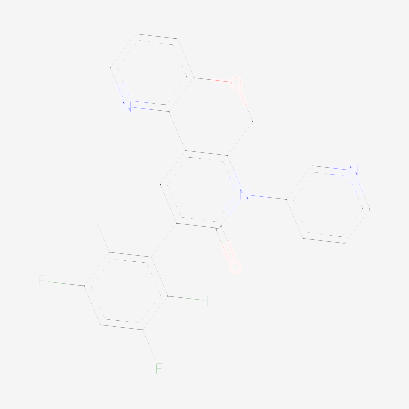 O=c1c(-c2c(F)c(F)cc(F)c2F)cc2c(n1-c1cccnc1)COc1cccnc1-2